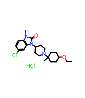 CCOC1CCC(C)(N2CCC(n3c(=O)[nH]c4ccc(Cl)cc43)CC2)CC1.Cl